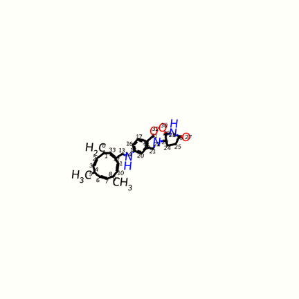 C=C1/C=C\C(C)/C=C\C(C)/C=C\C(CNc2ccc3c(c2)CN(C2CCC(=O)NC2=O)C3=O)=C/1